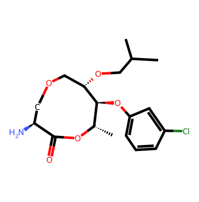 CC(C)CO[C@H]1COC[C@H](N)C(=O)O[C@@H](C)[C@@H]1Oc1cccc(Cl)c1